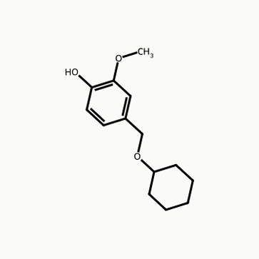 COc1cc(COC2CCCCC2)ccc1O